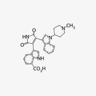 CN1CCC(n2cc(C3=C(c4c[nH]c5c(C(=O)O)cccc45)C(=O)NC3=O)c3ccccc32)CC1